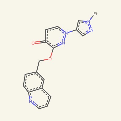 CCn1cc(-n2ccc(=O)c(OCc3ccc4ncccc4c3)n2)cn1